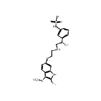 Cc1[nH]c2cc(OCCNC[C@H](O)c3cccc(NS(C)(=O)=O)c3)ccc2c1OC(=O)O